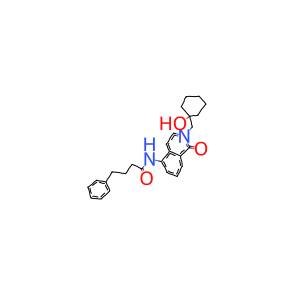 O=C(CCCc1ccccc1)Nc1cccc2c(=O)n(CC3(O)CCCCC3)ccc12